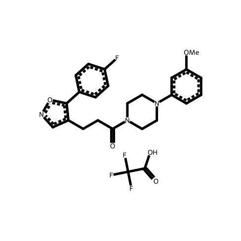 COc1cccc(N2CCN(C(=O)CCc3cnoc3-c3ccc(F)cc3)CC2)c1.O=C(O)C(F)(F)F